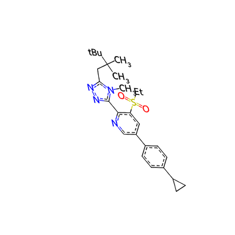 CCS(=O)(=O)c1cc(-c2ccc(C3CC3)cc2)cnc1-c1nnc(CC(C)(C)C(C)(C)C)n1C